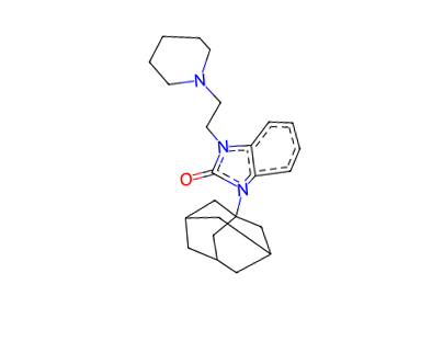 O=c1n(CCN2CCCCC2)c2ccccc2n1C12CC3CC(CC(C3)C1)C2